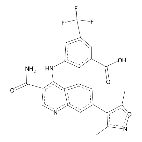 Cc1noc(C)c1-c1ccc2c(Nc3cc(C(=O)O)cc(C(F)(F)F)c3)c(C(N)=O)cnc2c1